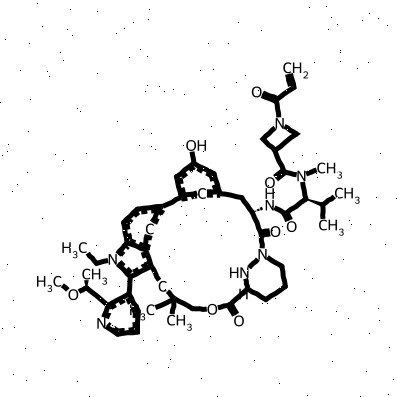 C=CC(=O)N1CC(C(=O)N(C)[C@H](C(=O)N[C@H]2Cc3cc(O)cc(c3)-c3ccc4c(c3)c(c(-c3cccnc3[C@H](C)OC)n4CC)CC(C)(C)COC(=O)[C@@H]3CCCN(N3)C2=O)C(C)C)C1